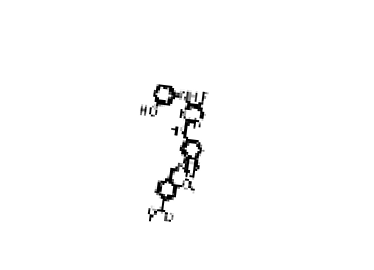 COC(=O)c1ccc(CN2NCc3ccc(Nc4ncc(F)c(Nc5cccc(O)c5)n4)cc32)c(OC)c1